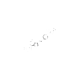 Nc1ncnc2c(C=Cc3ccc(C(=O)NC4CC4)cc3)csc12